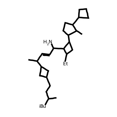 CCC(C)C(C)CCC1CC(C(C)C=CC(N)C2C(CC)CC2C2CCC(C3CCC3)C2C)C1